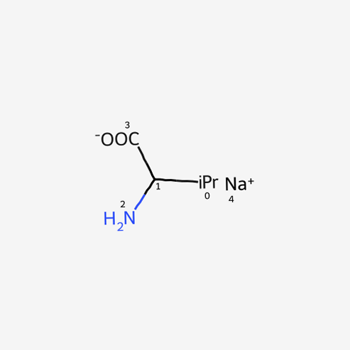 CC(C)C(N)C(=O)[O-].[Na+]